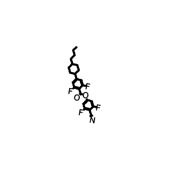 CCCCC1CCC(c2cc(F)c(C(=O)Oc3cc(F)c(C#N)c(F)c3)c(F)c2)CC1